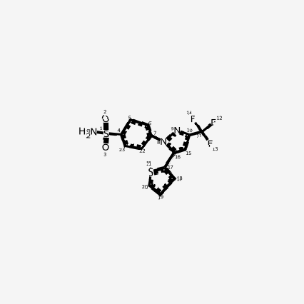 NS(=O)(=O)c1ccc(-n2nc(C(F)(F)F)cc2-c2cccs2)cc1